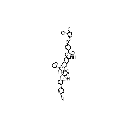 N#Cc1ccc(-c2ccc(C[C@H](NC(=O)[C@@H]3Cc4cc5c(cc4CN3C(=O)[C@@H]3CCCO3)OC(c3ccc(OCc4ccc(Cl)c(Cl)c4)cc3)C(=O)N5)C(=O)O)cc2)cc1